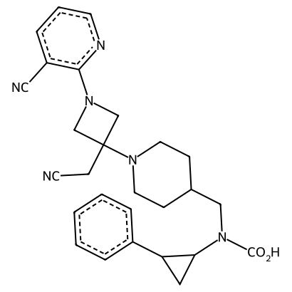 N#CCC1(N2CCC(CN(C(=O)O)C3CC3c3ccccc3)CC2)CN(c2ncccc2C#N)C1